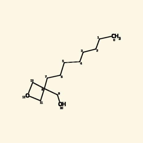 CCCCCCCCC1(CO)COC1